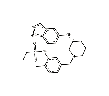 CCS(=O)(=O)Nc1cc(CN2CCC[C@@H](Nc3ccc4[nH]ncc4c3)C2)ccc1C